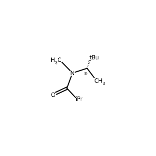 CC(C)C(=O)N(C)[C@@H](C)C(C)(C)C